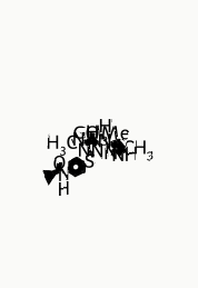 COc1c(Nc2cc(C)[nH]n2)nc(Sc2ccc(NC(=O)C3CC3)cc2)nc1N(C)C